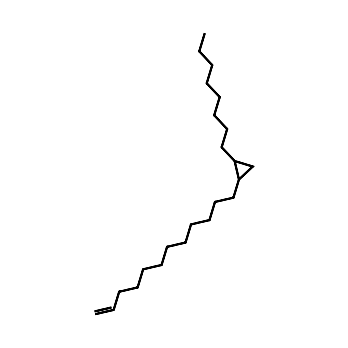 C=CCCCCCCCCCCC1CC1CCCCCCCC